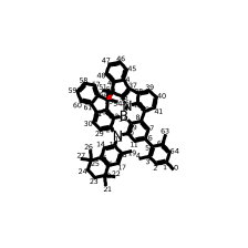 Cc1cc(C)c(-c2cc3c4c(c2)N(c2cc5c(cc2C)C(C)(C)CCC5(C)C)c2ccc5c(c2B4n2c4c(c6cccc-3c62)-c2ccccc2C4(C)C)C(C)(C)c2ccccc2-5)c(C)c1